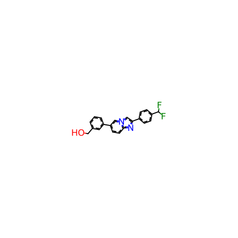 OCc1cccc(-c2ccc3nc(-c4ccc(C(F)F)cc4)cn3c2)c1